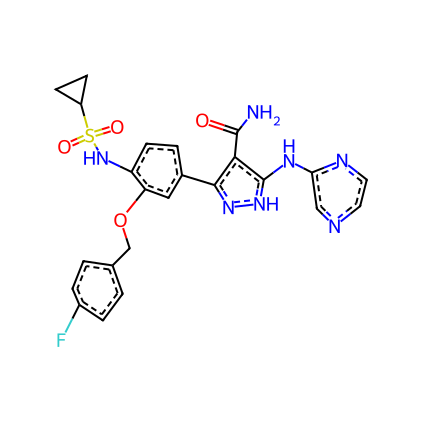 NC(=O)c1c(-c2ccc(NS(=O)(=O)C3CC3)c(OCc3ccc(F)cc3)c2)n[nH]c1Nc1cnccn1